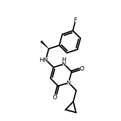 C[C@H](Nc1cc(=O)n(CC2CC2)c(=O)[nH]1)c1cccc(F)c1